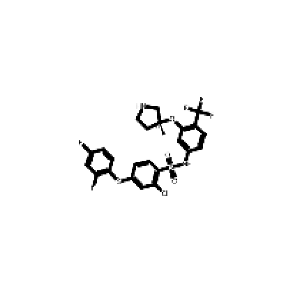 C[C@@]1(Oc2cc(NS(=O)(=O)c3ccc(Sc4ccc(F)cc4F)cc3Cl)ccc2C(F)(F)F)CCNC1